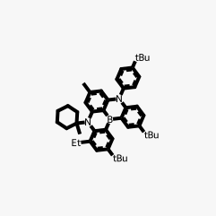 CCc1cc(C(C)(C)C)cc2c1N(C1(C)CCCCC1)c1cc(C)cc3c1B2c1cc(C(C)(C)C)ccc1N3c1ccc(C(C)(C)C)cc1